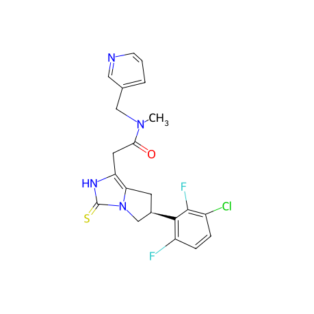 CN(Cc1cccnc1)C(=O)Cc1[nH]c(=S)n2c1C[C@@H](c1c(F)ccc(Cl)c1F)C2